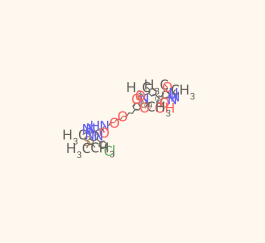 COc1cc([C@@H](CC(=O)O)c2ccc(C)c(CN3C[C@@H](C)Oc4cc(CCCOCCOCCNC(=O)C[C@@H]5N=C(c6ccc(Cl)cc6)c6c(sc(C)c6C)-n6c(C)nnc65)ccc4S3(=O)=O)c2)cc2nnn(C)c12